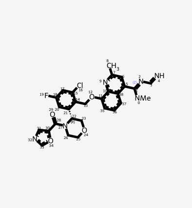 CN/C(=N\C=N)c1cc(C)nc2c(OCc3c(Cl)cc(F)cc3[C@@H]3COCCN3C(=O)c3cnco3)cccc12